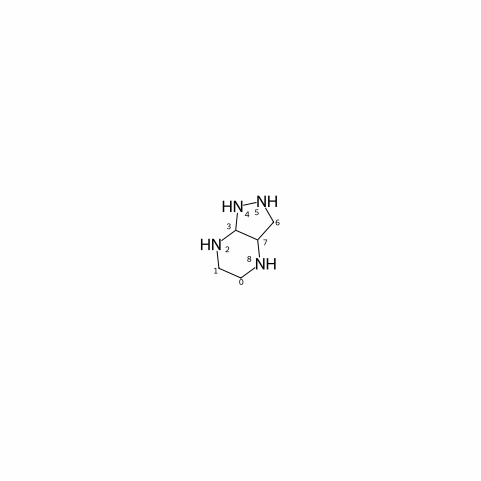 C1CNC2NNCC2N1